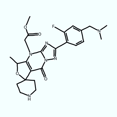 COC(=O)Cn1c2c(c(=O)n3nc(-c4ccc(CN(C)C)cc4F)nc13)C1(CCNCC1)OC2C